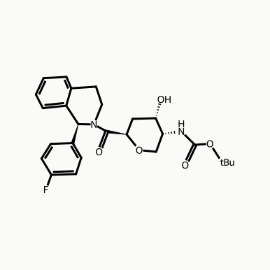 CC(C)(C)OC(=O)N[C@@H]1CO[C@@H](C(=O)N2CCc3ccccc3[C@@H]2c2ccc(F)cc2)C[C@@H]1O